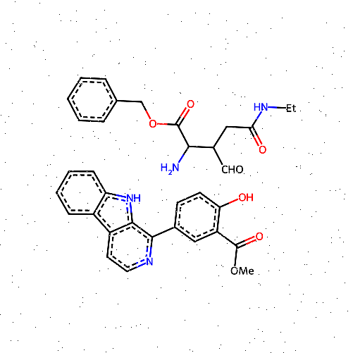 CCNC(=O)CC(C=O)C(N)C(=O)OCc1ccccc1.COC(=O)c1cc(-c2nccc3c2[nH]c2ccccc23)ccc1O